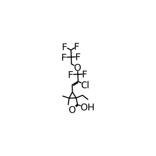 CCC1(C(=O)O)C(C=C(Cl)C(F)(F)OCC(F)(F)C(F)F)C1(C)C